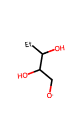 CCC(O)C(O)C[O]